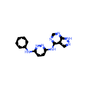 c1ccc(Nc2ccc(Nc3ncnc4[nH]ncc34)nn2)cc1